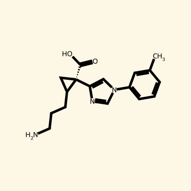 Cc1cccc(-n2cnc([C@]3(C(=O)O)CC3CCCN)c2)c1